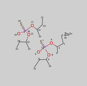 CCC(C)OP([O-])(=S)OC(C)CC.CCC(C)OP([O-])(=S)OC(C)CC.[Zn+2]